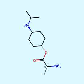 CC(C)N[C@H]1CC[C@H](OC(=O)[C@@H](C)N)CC1